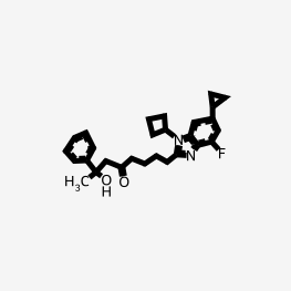 CC(O)(CC(=O)CCCCc1nc2c(F)cc(C3CC3)cc2n1C1CCC1)c1ccccc1